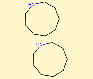 C1CCCCNCCC1.C1CCCCNCCC1